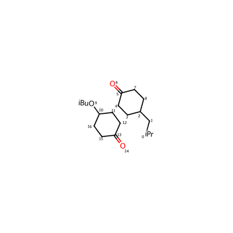 CC(C)CC1CCC(=O)CC1.CC(C)COC1CCC(=O)CC1